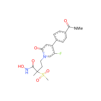 CNC(=O)c1ccc(-c2cc(=O)n(CCC(C)(C(=O)NO)S(C)(=O)=O)cc2F)cc1